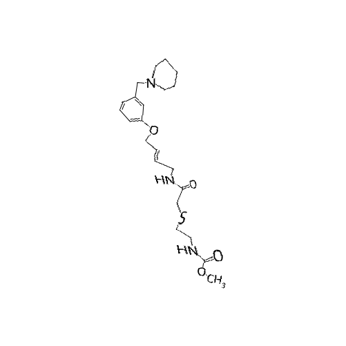 COC(=O)NCCSCC(=O)NCC=CCOc1cccc(CN2CCCCC2)c1